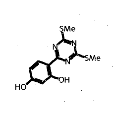 CSc1nc(SC)nc(-c2ccc(O)cc2O)n1